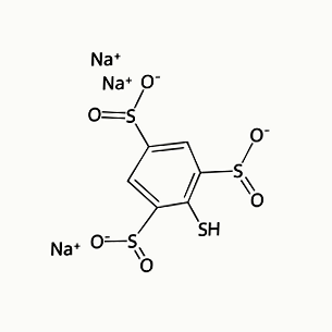 O=S([O-])c1cc(S(=O)[O-])c(S)c(S(=O)[O-])c1.[Na+].[Na+].[Na+]